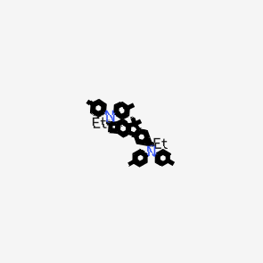 CCC1(N(c2ccc(C)cc2)c2ccc(C)cc2)Cc2cc3c(cc21)C(C)(C)c1cc2c(cc1-3)C2(CC)N(c1ccc(C)cc1)c1ccc(C)cc1